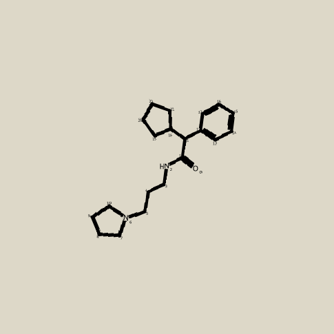 O=C(NCCCN1CCCC1)C(c1ccccc1)C1CCCC1